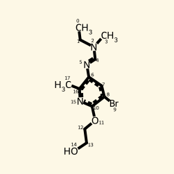 CCN(C)/C=N/c1cc(Br)c(OCCO)nc1C